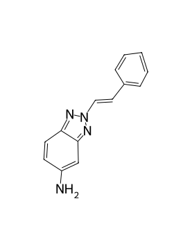 Nc1ccc2nn(C=Cc3ccccc3)nc2c1